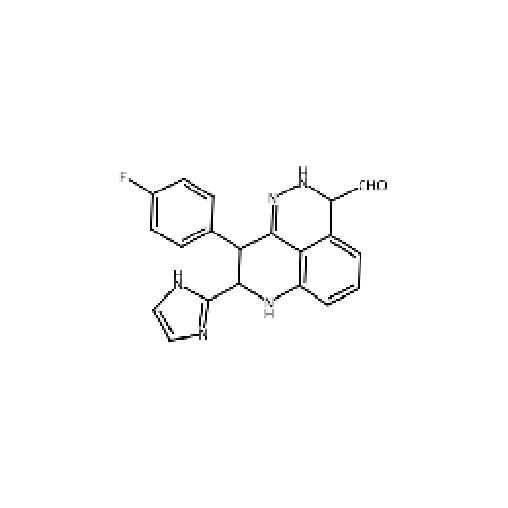 O=CC1NN=C2c3c(cccc31)NC(c1ncc[nH]1)C2c1ccc(F)cc1